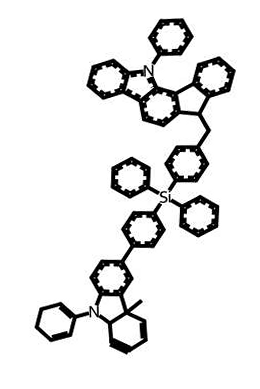 CC12C=CC#CC1N(C1=CCCC=C1)c1ccc(-c3ccc([Si](c4ccccc4)(c4ccccc4)c4ccc(CC5c6ccccc6-c6c5ccc5c7ccccc7n(-c7ccccc7)c65)cc4)cc3)cc12